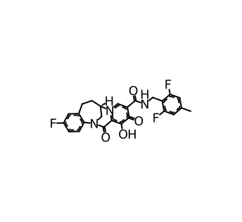 Cc1cc(F)c(CNC(=O)c2cn3c(c(O)c2=O)C(=O)N2C[C@@H]3CCc3cc(F)ccc32)c(F)c1